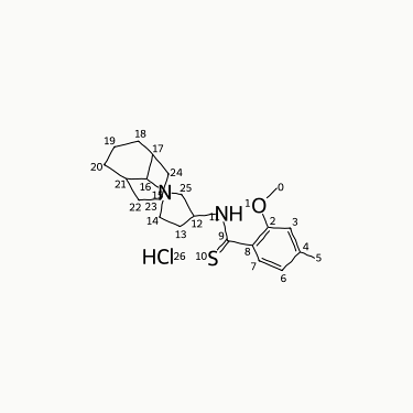 COc1cc(C)ccc1C(=S)NC1CCN(C2C3CCCC2CCC3)C1.Cl